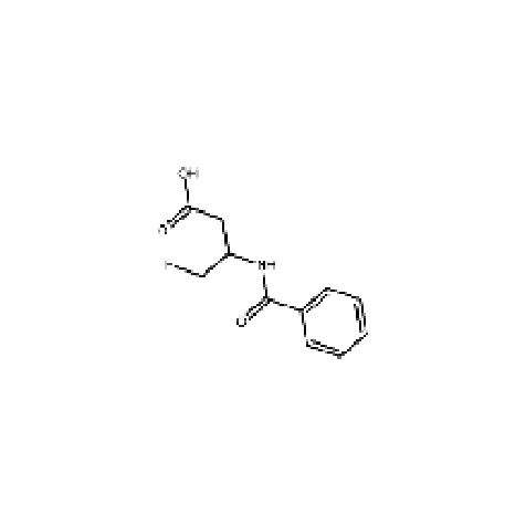 O=C(O)CC(CF)NC(=O)c1ccccc1